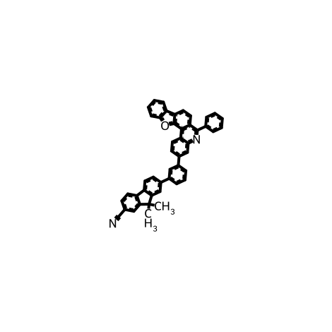 CC1(C)c2cc(C#N)ccc2-c2ccc(-c3cccc(-c4ccc5c(c4)nc(-c4ccccc4)c4ccc6c7ccccc7oc6c45)c3)cc21